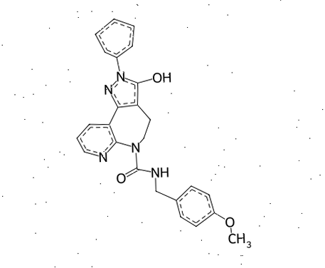 COc1ccc(CNC(=O)N2CCc3c(nn(-c4ccccc4)c3O)-c3cccnc32)cc1